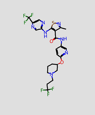 Cc1nsc(Nc2cnc(C(F)(F)F)cn2)c1C(=O)Nc1ccc(O[C@@H]2CCCN(CCC(F)(F)F)C2)nc1